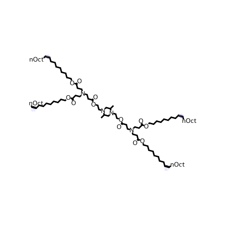 CCCCCCCC/C=C\CCCCCCCCOC(=O)CCN(CCC(=O)OCCCCCCCC/C=C\CCCCCCCC)CCC(=O)OCCN1CC(C)N(CCOC(=O)CCN(CCC(=O)OCCCCCCCC/C=C\CCCCCCCC)CCC(=O)OCCCCCCCC/C=C\CCCCCCCC)CC1C